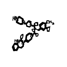 Cc1ccc(C[C@@H](OC(=O)N2CCC(N3CCc4ccccc4NC3=O)CC2)C(=O)N2CCC(N3CCNCC3)CC2)cc1Cl